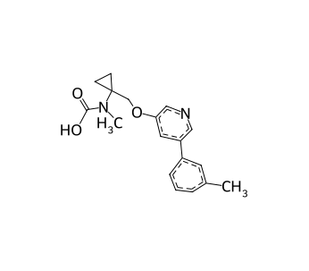 Cc1cccc(-c2cncc(OCC3(N(C)C(=O)O)CC3)c2)c1